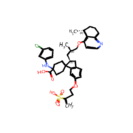 CC(CCOc1ccc2c(c1)C1(CCC(Nc3cccc(Cl)c3)(C(=O)O)CC1)[C@@H](C[C@@H](C)COc1ccnc3c1[C@H](C)CCC3)C2)S(=O)(=O)O